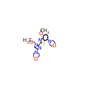 COCn1cc(N2CCOCC2)nc1-c1nc2c(OC)ccc(N3CCOCC3)c2s1